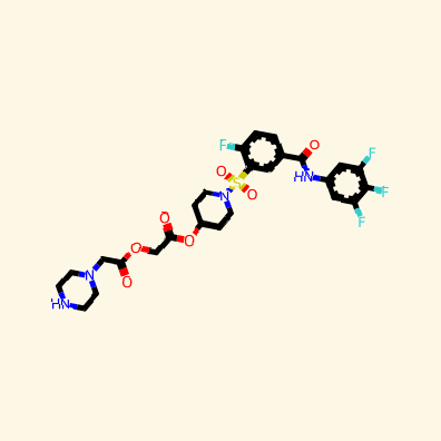 O=C(CN1CCNCC1)OCC(=O)OC1CCN(S(=O)(=O)c2cc(C(=O)Nc3cc(F)c(F)c(F)c3)ccc2F)CC1